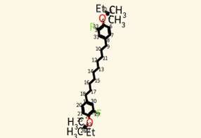 CCC(C)(C)Oc1ccc(CCCCCCCCCCc2ccc(OC(C)(C)CC)c(F)c2)cc1F